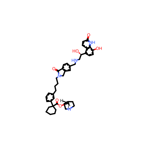 O=C1c2ccc(CNC[C@@H](O)c3ccc(O)c4[nH]c(=O)ccc34)cc2CN1CCCCc1cccc(C2(C(=O)O[C@H]3CN4CCC3CC4)CCCCC2)c1